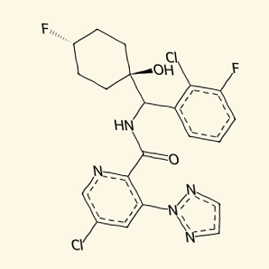 O=C(NC(c1cccc(F)c1Cl)[C@]1(O)CC[C@H](F)CC1)c1ncc(Cl)cc1-n1nccn1